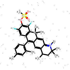 CC[N+]1=c2cc3c(cc2C(C)CC1(C)C)=C(c1ccc(C)cc1C)c1cc(F)c(OS(=O)(=O)C(F)(F)F)c(F)c1[Si]3(C)C